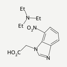 CCN(CC)CC.O=C(O)Cn1cnc2cccc([N+](=O)[O-])c21